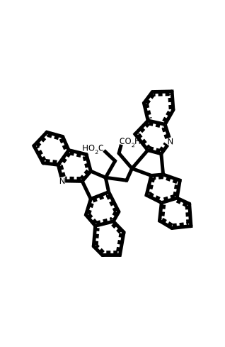 O=C(O)CC1(CC2(CC(=O)O)c3cc4ccccc4cc3-c3nc4ccccc4cc32)c2cc3ccccc3cc2-c2nc3ccccc3cc21